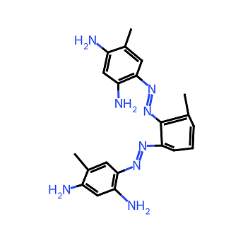 Cc1cc(N=Nc2cccc(C)c2N=Nc2cc(C)c(N)cc2N)c(N)cc1N